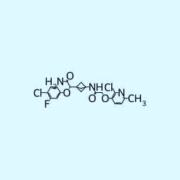 Cc1ccc(OCC(=O)NC23CC(C(Oc4ccc(Cl)c(F)c4)C(N)=O)(C2)C3)c(Cl)n1